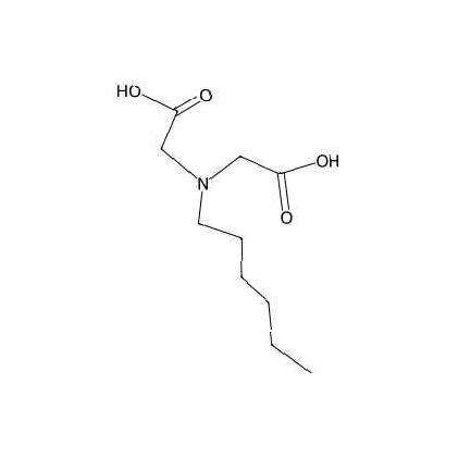 CCCCCCN(CC(=O)O)CC(=O)O